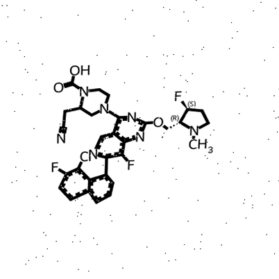 CN1CC[C@H](F)[C@H]1COc1nc(N2CCN(C(=O)O)C(CC#N)C2)c2cnc(-c3cccc4ccc(F)c(Cl)c34)c(F)c2n1